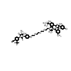 CCOc1cc(C(C)(C)C)ccc1C1=N[C@@](C)(c2ccc(Cl)cc2)[C@@](C)(c2ccc(C)cc2)N1C(=O)N1CCN(CCOCCOCCOCCOc2ccc(N3C(=S)N(c4ccc(C#N)c(C(F)(F)F)c4)C(=O)C3(C)C)cc2)CC1